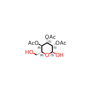 CC(=O)O[C@@H]1[C@H](OC(C)=O)[C@@H](O)O[C@H](CO)[C@H]1OC(C)=O